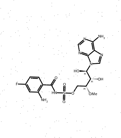 CO[C@H](COS(=O)(=O)NC(=O)c1ccc(F)cc1N)[C@@H](O)[C@@H](O)n1cnc2c(N)ncnc21